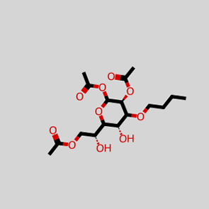 CCCCOC1[C@H](O)C([C@H](O)COC(C)=O)OC(OC(C)=O)[C@H]1OC(C)=O